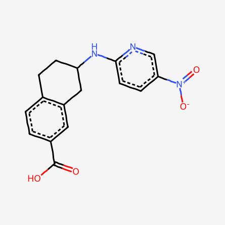 O=C(O)c1ccc2c(c1)CC(Nc1ccc([N+](=O)[O-])cn1)CC2